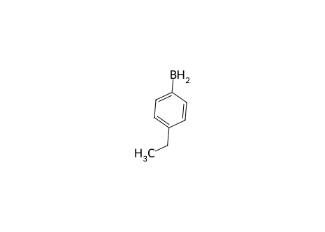 Bc1ccc(CC)cc1